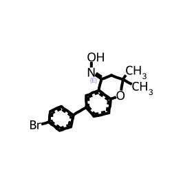 CC1(C)C/C(=N\O)c2cc(-c3ccc(Br)cc3)ccc2O1